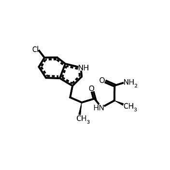 C[C@@H](Cc1c[nH]c2cc(Cl)ccc12)C(=O)N[C@H](C)C(N)=O